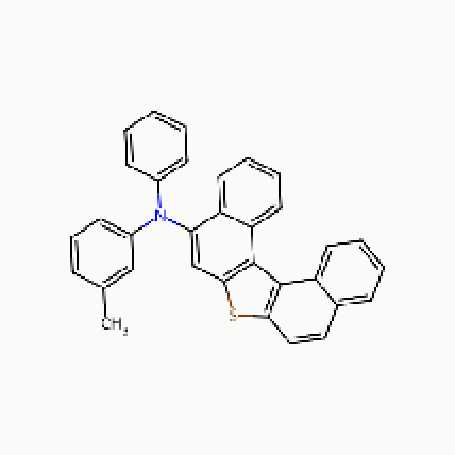 Cc1cccc(N(c2ccccc2)c2cc3sc4ccc5ccccc5c4c3c3ccccc23)c1